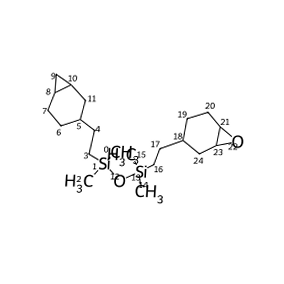 C[Si](C)(CCC1CCC2CC2C1)O[Si](C)(C)CCC1CCC2OC2C1